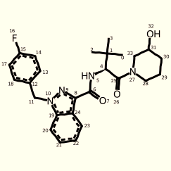 CC(C)(C)[C@H](NC(=O)c1nn(Cc2ccc(F)cc2)c2ccccc12)C(=O)N1CCCC(O)C1